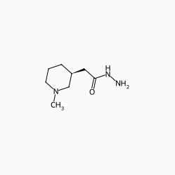 CN1CCC[C@@H](CC(=O)NN)C1